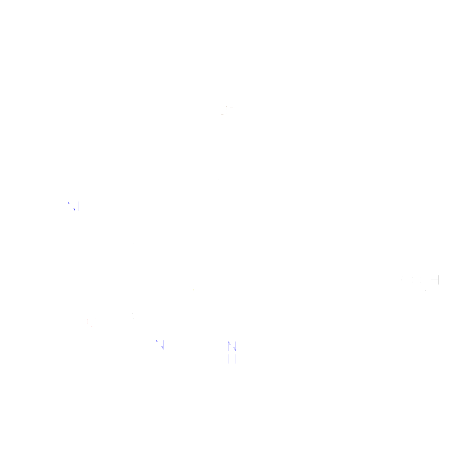 O=C(O)Cc1ccc(NC2=NC(=O)C(=C(c3ccc(Br)cc3)c3ccc[nH]3)S2)cc1